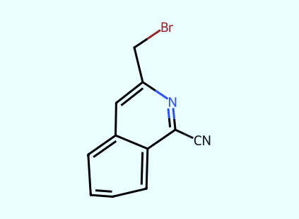 N#Cc1nc(CBr)cc2ccccc12